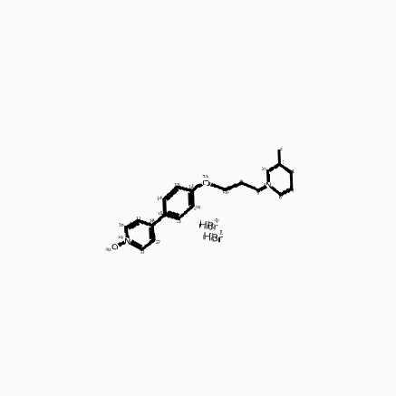 Br.Br.CC1CCCN(CCCOc2ccc(-c3cc[n+]([O-])cc3)cc2)C1